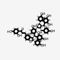 O=C(/C=C/c1ccc2c(c1)C([C@H](c1ccc(O)cc1O)c1cc([C@@H]3O[C@H](c4ccc(O)cc4)[C@@H](C(=O)c4ccc(O)cc4O)[C@@H]3Cc3ccc(O)cc3)c(O)cc1O)[C@H](c1ccc(O)cc1)O2)c1ccc(O)cc1O